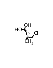 C=CCCl.O=C(O)O